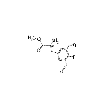 COC(=O)[C@H](N)Cc1cc(C=O)c(F)c(C=O)c1